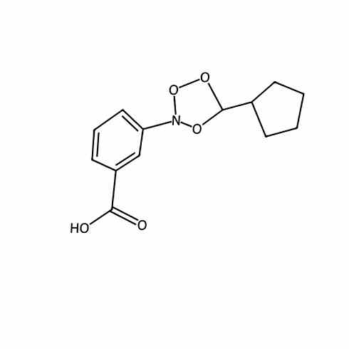 O=C(O)c1cccc(N2OOC(C3CCCC3)O2)c1